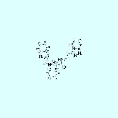 O=C(NCCc1nnc2ccccn12)c1nn(Cc2nc3ccccc3o2)c2ccccc12